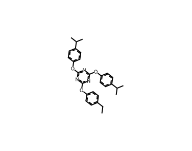 CCc1ccc(Oc2nc(Oc3ccc(C(C)C)cc3)nc(Oc3ccc(C(C)C)cc3)n2)cc1